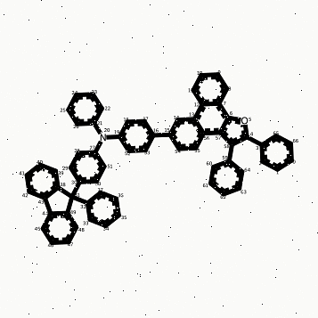 c1ccc(-c2oc3c4ccccc4c4cc(-c5ccc(N(c6ccccc6)c6ccc(C7(c8ccccc8)c8ccccc8-c8ccccc87)cc6)cc5)ccc4c3c2-c2ccccc2)cc1